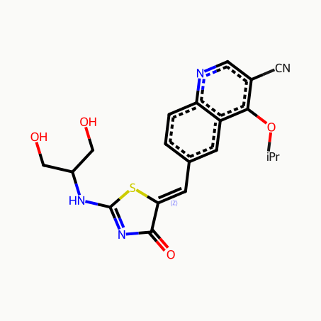 CC(C)Oc1c(C#N)cnc2ccc(/C=C3\SC(NC(CO)CO)=NC3=O)cc12